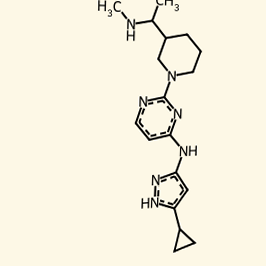 CNC(C)C1CCCN(c2nccc(Nc3cc(C4CC4)[nH]n3)n2)C1